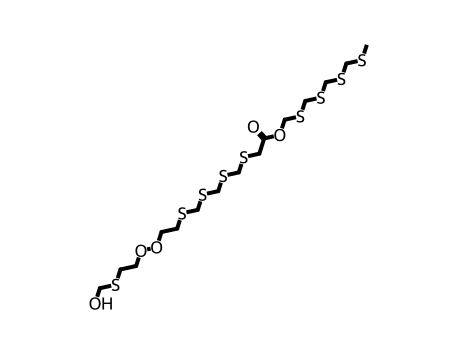 CSCSCSCSCOC(=O)CSCSCSCSCCOOCCSCO